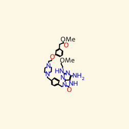 COCCNc1nc(N)c2[nH]c(=O)n(Cc3ccc(CN4CCN(CCOc5cccc(CC(=O)OC)c5)CC4)cc3)c2n1